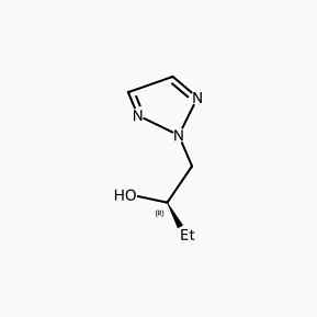 CC[C@@H](O)Cn1nccn1